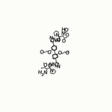 COCCOc1cc(-c2cnc([C@@H]3CCCN3C(=O)[C@@H](N)[C@@H](C)OC)[nH]2)ccc1-c1ccc(-c2cnc([C@@H]3CCCN3C(=O)[C@@H](NC(=O)OC)[C@@H](C)OC)[nH]2)cc1OCCOC